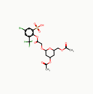 CC(=O)OCC1CC(OC(C)=O)CC(OCC(=O)Oc2c(C(F)(F)F)cc(Br)cc2S(=O)(=O)O)O1